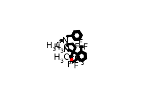 CCN(Cc1ccccc1)C(C)CCC(C#N)(c1c(C(F)(F)F)cccc1C(F)(F)F)C(C)C